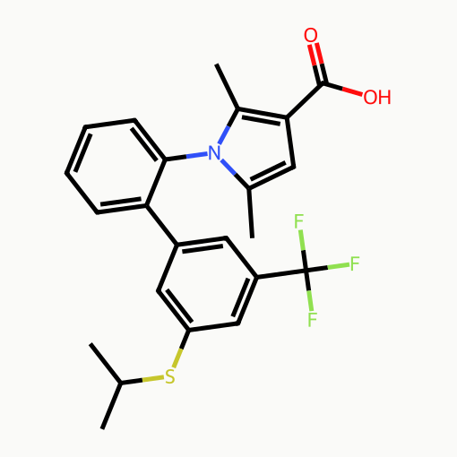 Cc1cc(C(=O)O)c(C)n1-c1ccccc1-c1cc(SC(C)C)cc(C(F)(F)F)c1